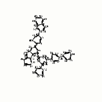 C1=CC(c2cc(-c3nc(-c4ccccc4)nc(-c4ccc(-c5ccccc5)cc4)n3)c3c(c2)oc2ccccc23)CC=C1c1ccc2ccccc2c1